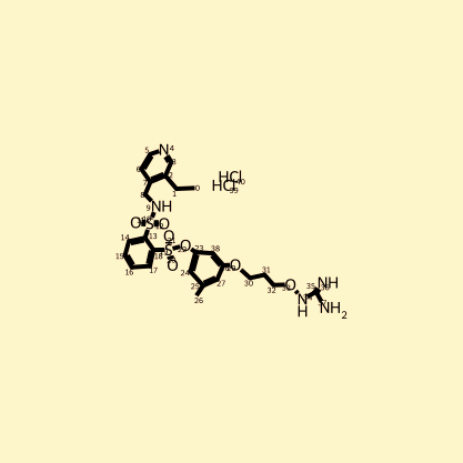 CCc1cnccc1CNS(=O)(=O)c1ccccc1S(=O)(=O)Oc1cc(C)cc(OCCCONC(=N)N)c1.Cl.Cl